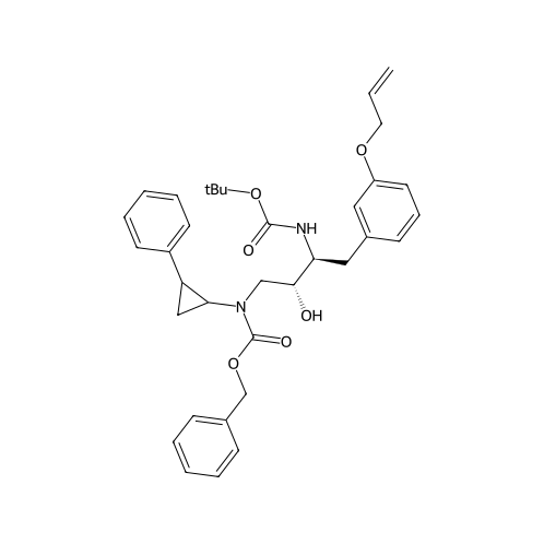 C=CCOc1cccc(C[C@H](NC(=O)OC(C)(C)C)[C@H](O)CN(C(=O)OCc2ccccc2)C2CC2c2ccccc2)c1